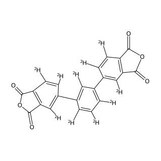 [2H]c1c([2H])c(-c2c([2H])c([2H])c3c(c2[2H])C(=O)OC3=O)c([2H])c(-c2c([2H])c([2H])c3c(c2[2H])C(=O)OC3=O)c1[2H]